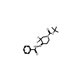 CC(C)(C)OC(=O)N1CCC(=NNC(=O)c2ccccc2)C(F)(F)C1